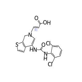 O=C(O)/C=C/N1C=C(NC(=O)Nc2c(Cl)cccc2Cl)c2ccsc2C1